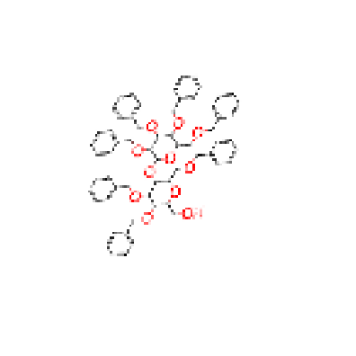 OCC1OC(COCc2ccccc2)C(OC2OC(COCc3ccccc3)C(OCc3ccccc3)C(OCc3ccccc3)C2OCc2ccccc2)C(OCc2ccccc2)C1OCc1ccccc1